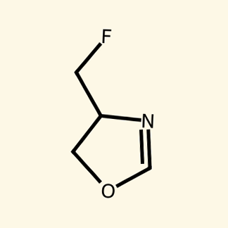 FCC1COC=N1